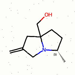 C=C1CN2[C@@H](C)CCC2(CO)C1